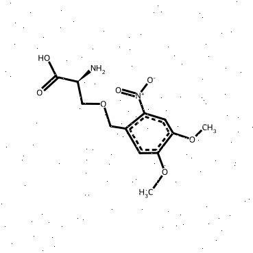 COc1cc(COC[C@H](N)C(=O)O)c([N+](=O)[O-])cc1OC